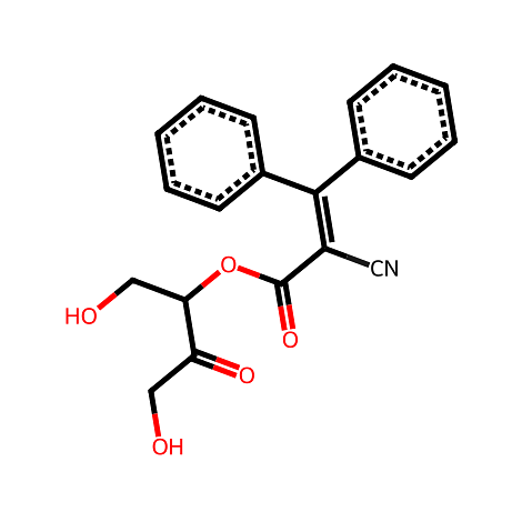 N#CC(C(=O)OC(CO)C(=O)CO)=C(c1ccccc1)c1ccccc1